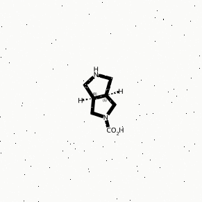 O=C(O)N1C[C@H]2CNC[C@H]2C1